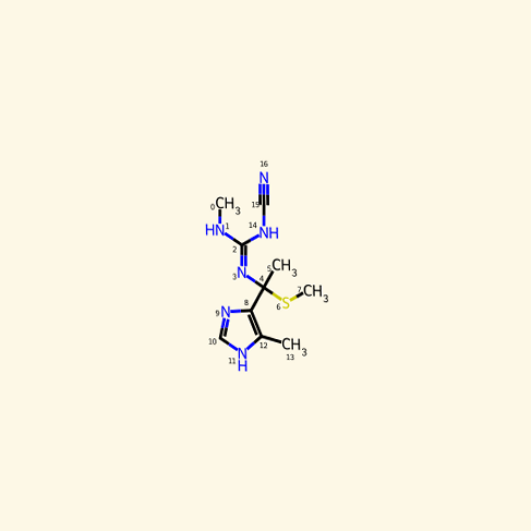 CN/C(=N/C(C)(SC)c1nc[nH]c1C)NC#N